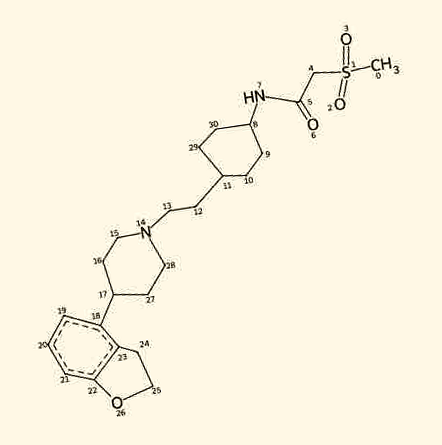 CS(=O)(=O)CC(=O)NC1CCC(CCN2CCC(c3cccc4c3CCO4)CC2)CC1